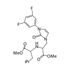 COC(=O)C(CC(C)C)NC(Cn1ccn(-c2cc(F)cc(F)c2)c1=O)C(=O)OC